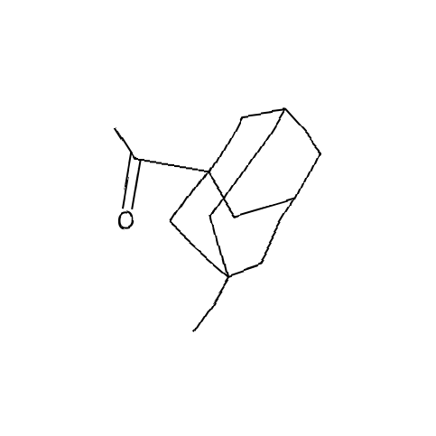 CC(=O)C12CC3CC(CC(C)(C3)C1)C2